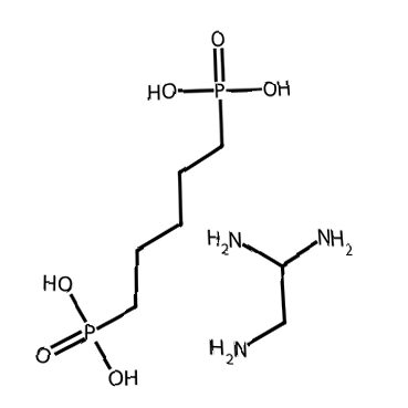 NCC(N)N.O=P(O)(O)CCCCCP(=O)(O)O